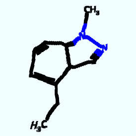 CCC1=CC=CC2C1C=NN2C